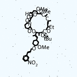 CCC1/C=C(\C)CC(C)CC(OC)C2OC(O)(C(=O)C(=O)N3CCCCC3C(=O)OC(C(C)=CC3CCC(OCC=Cc4cccc([N+](=O)[O-])c4)C(OC)C3)C(C)C(O[Si](C)(C)C(C)(C)C)CC1=O)C(C)CC2OC